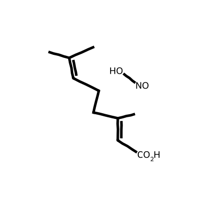 CC(C)=CCC/C(C)=C/C(=O)O.O=NO